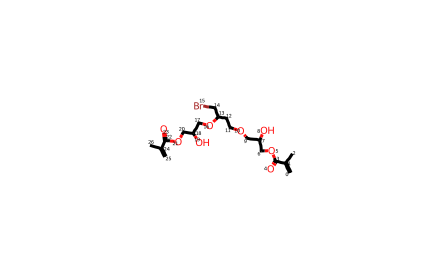 C=C(C)C(=O)OCC(O)COCCC(CBr)OCC(O)COC(=O)C(=C)C